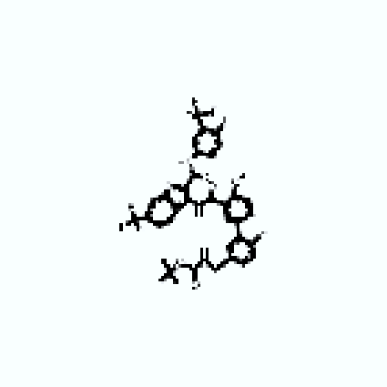 COc1ccc(-c2cc(CNC(=O)OC(C)(C)C)ccc2F)cc1C(=O)Nc1c(C(=O)Nc2ccc(F)c(C(F)(F)F)c2)sc2cc(C(F)(F)F)ccc12